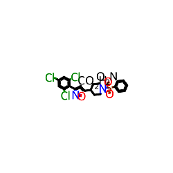 O=C(O)c1c(-c2c(Cl)cc(Cl)cc2Cl)noc1C1CCN(S(=O)(=O)c2ccccc2[N+](=O)[O-])CC1